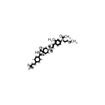 COCCN(C(C)=O)c1ccc(/C=C/S(=O)(=O)N2CCC3(CC2)N=C(C2CCC(CCC(F)(F)F)CC2)NC3=O)c(C)c1